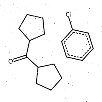 Clc1ccccc1.O=C(C1CCCC1)C1CCCC1